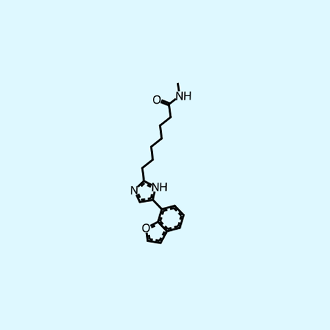 CNC(=O)CCCCCCc1ncc(-c2cccc3ccoc23)[nH]1